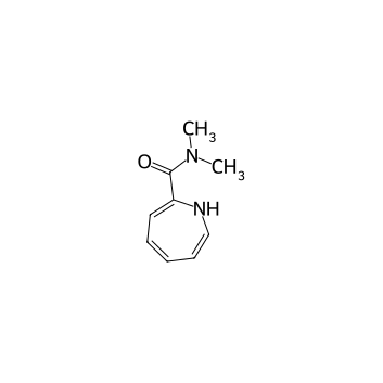 CN(C)C(=O)C1=CC=CC=CN1